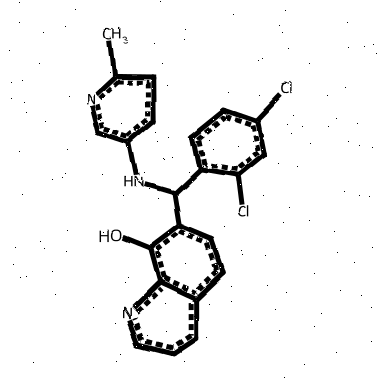 Cc1ccc(NC(c2ccc(Cl)cc2Cl)c2ccc3cccnc3c2O)cn1